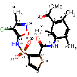 COC(=O)c1c(C)cc(C)c(NC(=O)c2sccc2S(=O)(=O)Nc2onc(C)c2Cl)c1C